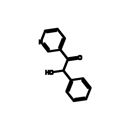 O=C(c1cccnc1)C(O)c1ccccc1